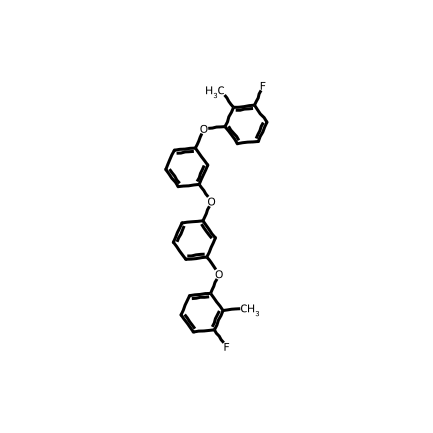 Cc1c(F)cccc1Oc1cccc(Oc2cccc(Oc3cccc(F)c3C)c2)c1